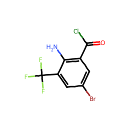 Nc1c(C(=O)Cl)cc(Br)cc1C(F)(F)F